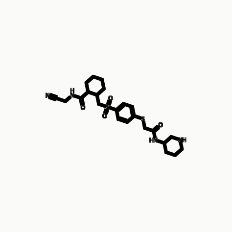 N#CCNC(=O)C1CCCCC1CS(=O)(=O)c1ccc(SCC(=O)NC2CCCNC2)cc1